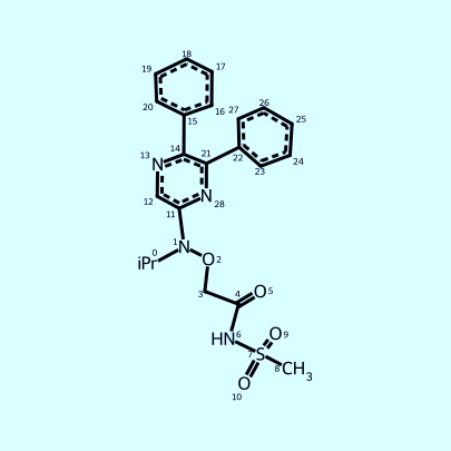 CC(C)N(OCC(=O)NS(C)(=O)=O)c1cnc(-c2ccccc2)c(-c2ccccc2)n1